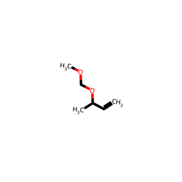 C=CC(C)OCOC